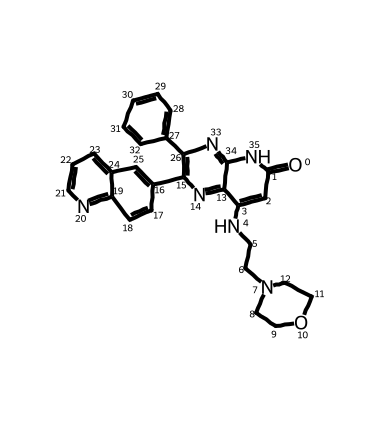 O=c1cc(NCCN2CCOCC2)c2nc(-c3ccc4ncccc4c3)c(-c3ccccc3)nc2[nH]1